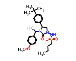 CCCCS(=O)(=O)NN1CC(c2ccc(C(C)(C)C)cc2)N(C(C)c2ccc(OC)cc2)C1=O